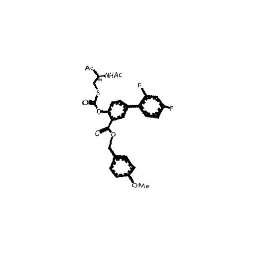 COc1ccc(COC(=O)c2cc(-c3ccc(F)cc3F)ccc2OC(=O)SC[C@H](NC(C)=O)C(C)=O)cc1